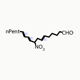 CCCCC/C=C/C=C/C(C/C=C/CCCC[C]=O)[N+](=O)[O-]